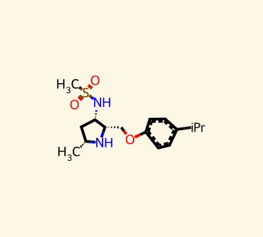 CC(C)c1ccc(OC[C@@H]2N[C@H](C)C[C@@H]2NS(C)(=O)=O)cc1